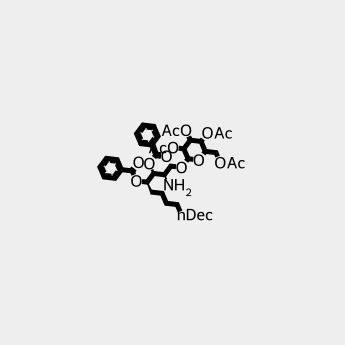 CCCCCCCCCCCCCC[C@@H](OC(=O)c1ccccc1)[C@@H](OC(=O)c1ccccc1)[C@@H](N)COC1OC(COC(C)=O)C(OC(C)=O)C(OC(C)=O)C1OC(C)=O